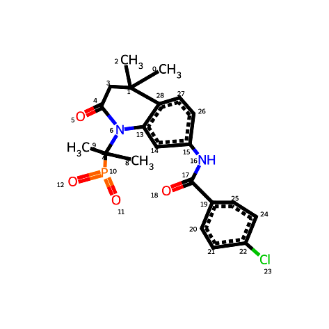 CC1(C)CC(=O)N(C(C)(C)P(=O)=O)c2cc(NC(=O)c3ccc(Cl)cc3)ccc21